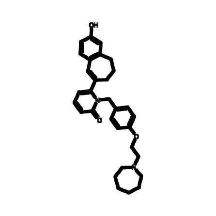 O=c1cccc(C2=Cc3ccc(O)cc3CCC2)n1Cc1ccc(OCCN2CCCCCC2)cc1